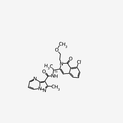 COCCn1c([C@H](C)NC(=O)c2c(C)nn3cccnc23)cc2cccc(Cl)c2c1=O